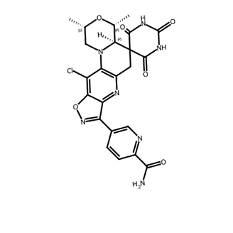 C[C@H]1CN2c3c(nc4c(-c5ccc(C(N)=O)nc5)noc4c3Cl)CC3(C(=O)NC(=O)NC3=O)[C@@H]2[C@@H](C)O1